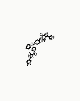 Cc1ccc(-c2nc(C)c(C(=O)N3CC[C@@H](C(=O)N4CCC(O)(Cn5cnc6c(-c7ccn(C)c7)scc6c5=O)CC4)[C@H](c4ccccc4)C3)s2)cn1